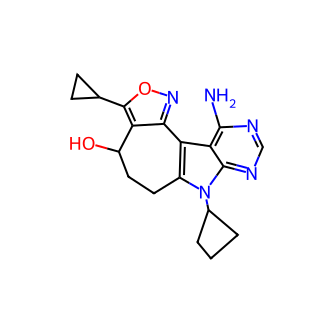 Nc1ncnc2c1c1c(n2C2CCC2)CCC(O)c2c-1noc2C1CC1